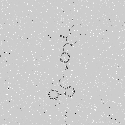 CCOC(=O)C(Cc1ccc(OCCCC2c3ccccc3-c3ccccc32)cc1)OC